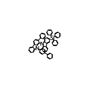 c1ccc(-c2ccc(-n3c4ccccc4c4ccc(-c5ccccc5)c(-n5c6ccccc6c6cc([Si](c7ccccc7)(c7ccccc7)c7ccccc7)ccc65)c43)cc2)cc1